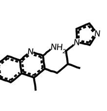 Cc1c(CC(C)Cn2ccnc2)c(N)nc2ccccc12